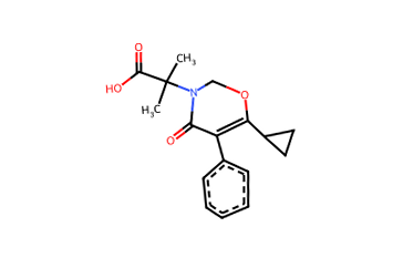 CC(C)(C(=O)O)N1COC(C2CC2)=C(c2ccccc2)C1=O